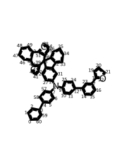 c1ccc(-c2ccc(N(c3ccc(-c4cccc(-c5ccco5)c4)cc3)c3ccc4c(c3)-c3ccccc3C43c4ccccc4-c4ccccc4-c4ccccc43)cc2)cc1